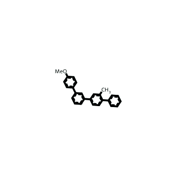 COc1ccc(-c2cc[c]c(-c3ccc(-c4ccccc4)c(C)c3)c2)cc1